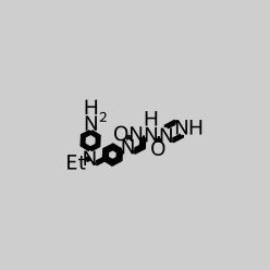 CCN(Cc1ccc(-n2ccc(NC(=O)N3CCNCC3)nc2=O)cc1)C1CCC(N)CC1